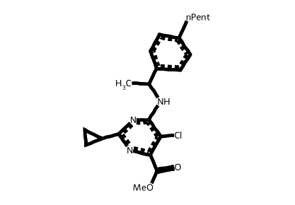 CCCCCc1ccc(C(C)Nc2nc(C3CC3)nc(C(=O)OC)c2Cl)cc1